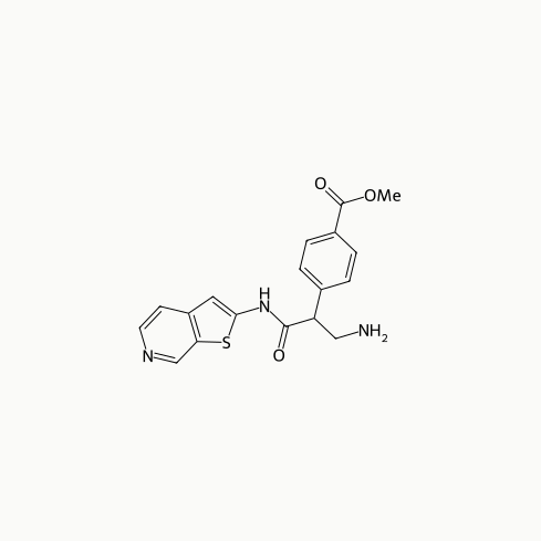 COC(=O)c1ccc(C(CN)C(=O)Nc2cc3ccncc3s2)cc1